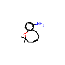 CC1(C)C/C=C\CCc2c(N)cccc2O1